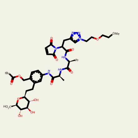 COCCOCCn1cc(CC(C(=O)N[C@H](C(=O)N[C@@H](C)C(=O)Nc2ccc(COC(=O)C(C)(C)C)c(CC[C@@H]3O[C@H](C(=O)O)[C@@H](O)[C@H](O)[C@H]3O)c2)C(C)C)N2C(=O)C=CC2=O)nn1